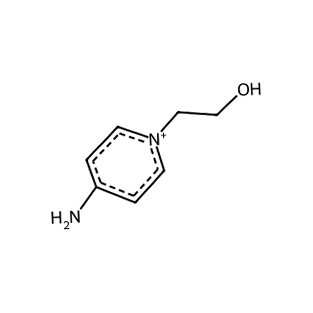 Nc1cc[n+](CCO)cc1